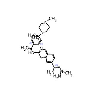 C=C(Nc1cc2cc(/C(N)=C/N(C)N)ccc2cn1)C(/C=C\C(=C)N1CCN(C)CC1)=C/C